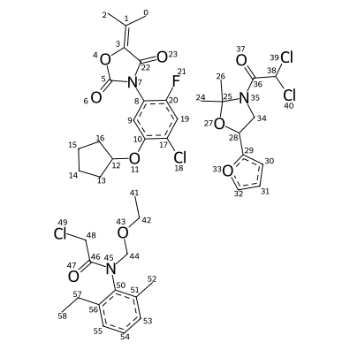 CC(C)=C1OC(=O)N(c2cc(OC3CCCC3)c(Cl)cc2F)C1=O.CC1(C)OC(c2ccco2)CN1C(=O)C(Cl)Cl.CCOCN(C(=O)CCl)c1c(C)cccc1CC